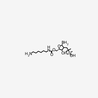 B[C@@H]1O[C@H](COC(=O)NCCCCCCN)[C@H](O)C1CC(C)(C)[Si](C)(C)O